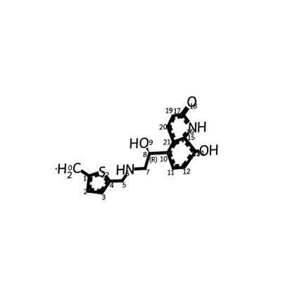 [CH2]c1ccc(CNC[C@H](O)c2ccc(O)c3[nH]c(=O)ccc23)s1